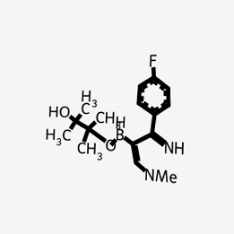 CN/C=C(/BOC(C)(C)C(C)(C)O)C(=N)c1ccc(F)cc1